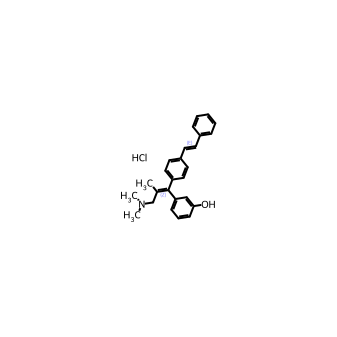 C/C(CN(C)C)=C(\c1ccc(/C=C/c2ccccc2)cc1)c1cccc(O)c1.Cl